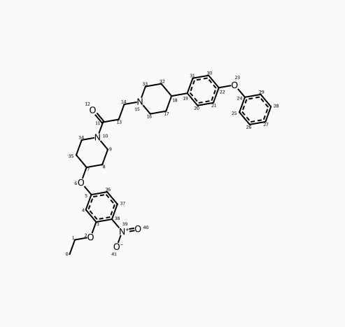 CCOc1cc(OC2CCN(C(=O)CCN3CCC(c4ccc(Oc5ccccc5)cc4)CC3)CC2)ccc1[N+](=O)[O-]